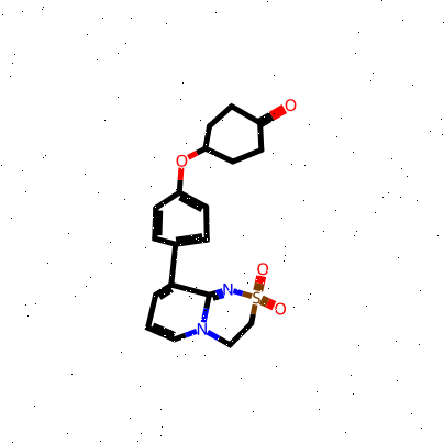 O=C1CCC(Oc2ccc(C3=CC=CN4CCS(=O)(=O)N=C34)cc2)CC1